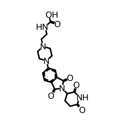 O=C(O)NCCN1CCN(c2ccc3c(c2)C(=O)N(C2CCC(=O)NC2=O)C3=O)CC1